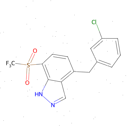 O=S(=O)(c1ccc(Cc2cccc(Cl)c2)c2cn[nH]c12)C(F)(F)F